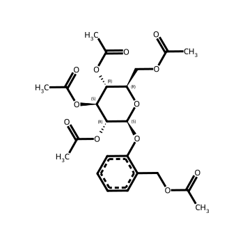 CC(=O)OCc1ccccc1O[C@@H]1O[C@H](COC(C)=O)[C@@H](OC(C)=O)[C@H](OC(C)=O)[C@H]1OC(C)=O